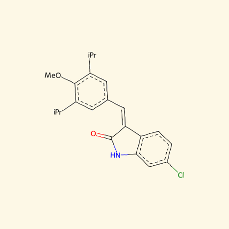 COc1c(C(C)C)cc(C=C2C(=O)Nc3cc(Cl)ccc32)cc1C(C)C